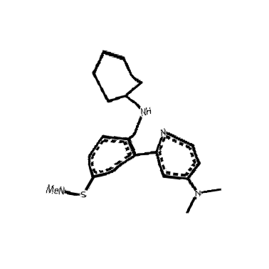 CNSc1ccc(NC2CCCCC2)c(-c2cc(N(C)C)ccn2)c1